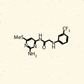 CSc1cc(NC(=O)CNc2cccc(C(F)(F)F)c2)nc(N)n1